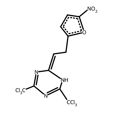 O=[N+]([O-])c1ccc(CC=C2N=C(C(Cl)(Cl)Cl)N=C(C(Cl)(Cl)Cl)N2)o1